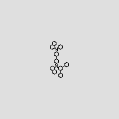 C1=c2ccccc2=C(N(c2ccc(-c3ccc(N(c4ccccc4)c4cccc5ccccc45)cc3)cc2)c2cc(-c3ccccc3)cc(-c3ccccc3)c2)CC1